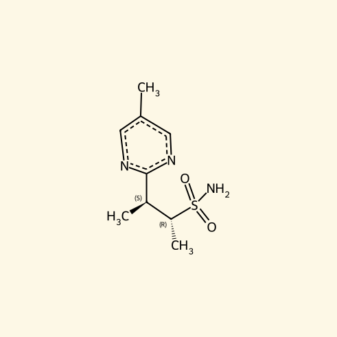 Cc1cnc([C@H](C)[C@@H](C)S(N)(=O)=O)nc1